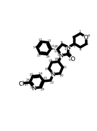 O=C1N(C2CCOCC2)C[C@@H](c2ccccc2)N1C1CCN(Cc2ccc(Cl)nc2)CC1